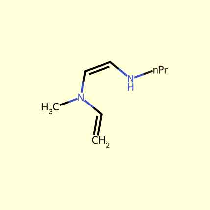 C=CN(C)/C=C\NCCC